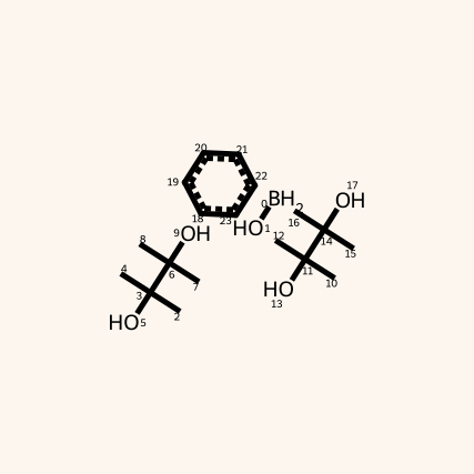 BO.CC(C)(O)C(C)(C)O.CC(C)(O)C(C)(C)O.c1ccccc1